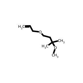 C=CCOCCC(C)(C)OC